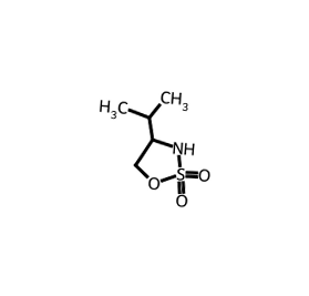 CC(C)C1COS(=O)(=O)N1